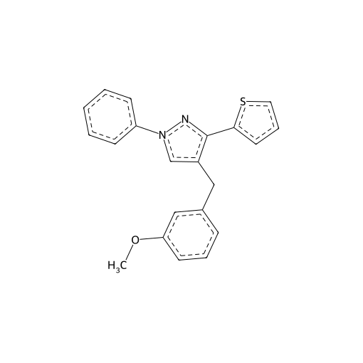 COc1cccc(Cc2cn(-c3ccccc3)nc2-c2cccs2)c1